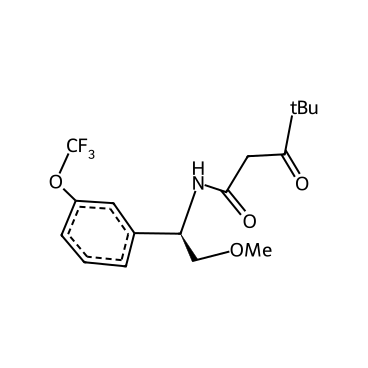 COC[C@H](NC(=O)CC(=O)C(C)(C)C)c1cccc(OC(F)(F)F)c1